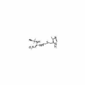 C#CC(C)(C)NC(=C[N+](=O)[O-])NCCSCc1[nH]cnc1C